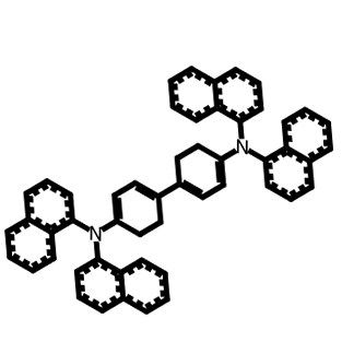 C1=C(C2=CC=C(N(c3cccc4ccccc34)c3cccc4ccccc34)CC2)CCC(N(c2cccc3ccccc23)c2cccc3ccccc23)=C1